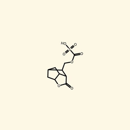 O=C1OC2CC3CC2C1C3COC(=O)S(=O)(=O)O